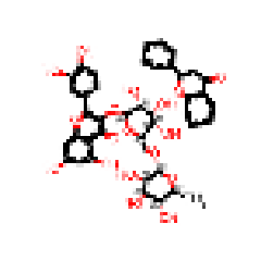 C[C@@H]1O[C@@H](OC[C@H]2O[C@@H](Oc3c(-c4ccc(O)c(O)c4)oc4cc(O)cc(O)c4c3=O)[C@H](O)[C@@H](O)[C@@H]2O)[C@H](O)[C@H](O)[C@H]1O.O=C1CC(c2ccccc2)Oc2ccccc21